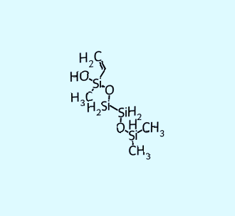 C=C[Si](C)(O)O[SiH2][SiH2]O[SiH](C)C